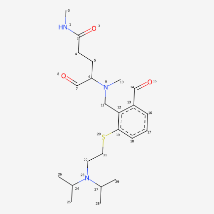 CNC(=O)CCC(C=O)N(C)Cc1c(C=O)cccc1SCCN(C(C)C)C(C)C